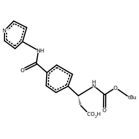 CC(C)(C)OC(=O)N[C@H](CC(=O)O)c1ccc(C(=O)Nc2ccncc2)cc1